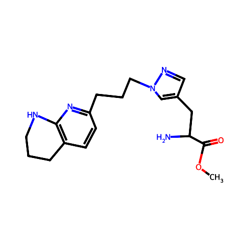 COC(=O)C(N)Cc1cnn(CCCc2ccc3c(n2)NCCC3)c1